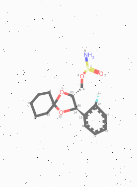 NS(=O)OC[C@H]1OC2(CCCCC2)O[C@@H]1c1ccccc1F